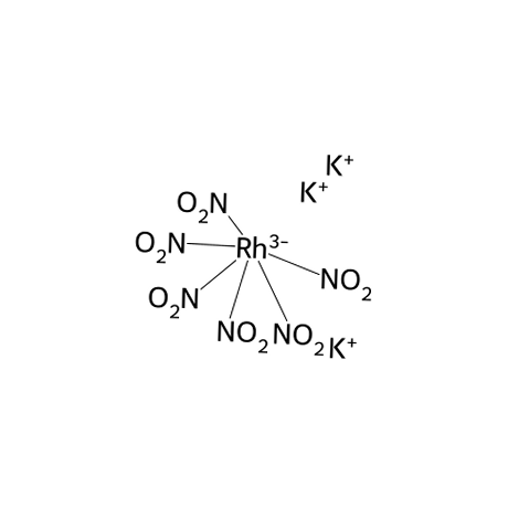 O=[N+]([O-])[Rh-3]([N+](=O)[O-])([N+](=O)[O-])([N+](=O)[O-])([N+](=O)[O-])[N+](=O)[O-].[K+].[K+].[K+]